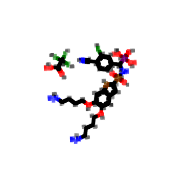 N#Cc1ccc(C(NS(=O)(=O)c2cc3cc(OCCCCN)c(OCCCCN)cc3s2)P(=O)(O)O)cc1F.O=C(O)C(F)(F)F